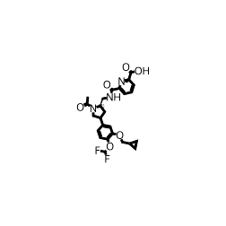 CC(=O)N1CC(c2ccc(OC(F)F)c(OCC3CC3)c2)C[C@@H]1CNC(=O)c1cccc(C(=O)O)n1